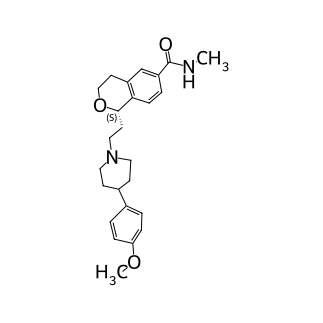 CNC(=O)c1ccc2c(c1)CCO[C@H]2CCN1CCC(c2ccc(OC)cc2)CC1